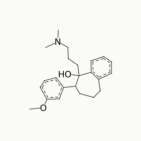 COc1cccc(C2CCCc3ccccc3C2(O)CCCN(C)C)c1